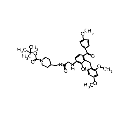 COc1ccc(C(=O)c2ccc(NCC(=O)NCC3CCN(C(=O)OC(C)(C)C)CC3)c(O)c2Cc2ccc(OC)cc2OC)cc1